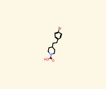 O=C(O)N1CCC(CCc2ccc(Br)cc2)CC1